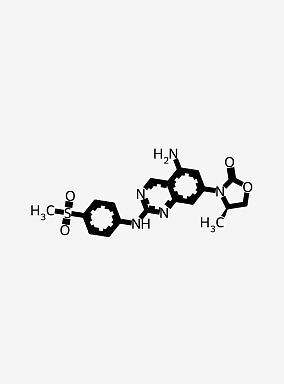 C[C@@H]1COC(=O)N1c1cc(N)c2cnc(Nc3ccc(S(C)(=O)=O)cc3)nc2c1